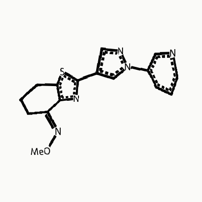 CON=C1CCCc2sc(-c3cnn(-c4cccnc4)c3)nc21